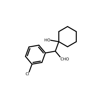 O=CC(c1cccc(Cl)c1)C1(O)CCCCC1